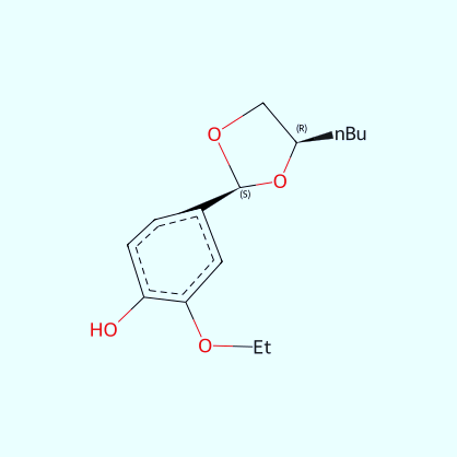 CCCC[C@@H]1CO[C@H](c2ccc(O)c(OCC)c2)O1